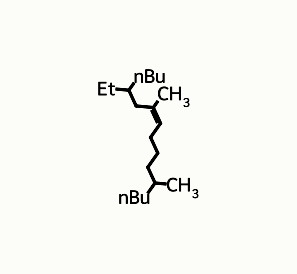 CCCCC(C)CCCC=C(C)CC(CC)CCCC